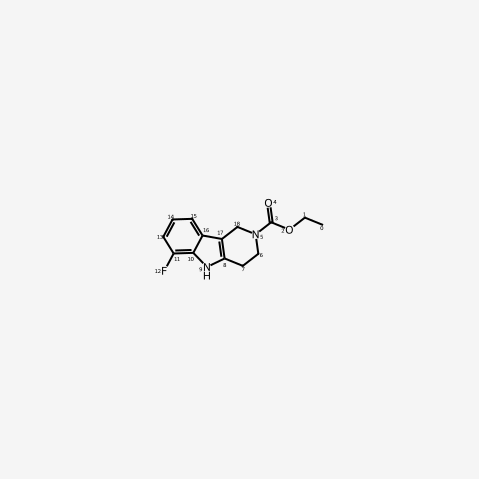 CCOC(=O)N1CCc2[nH]c3c(F)cccc3c2C1